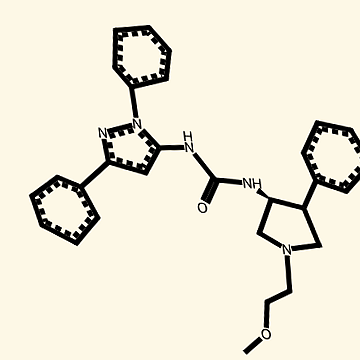 COCCN1CC(c2ccccc2)[C@H](NC(=O)Nc2cc(-c3ccccc3)nn2-c2ccccc2)C1